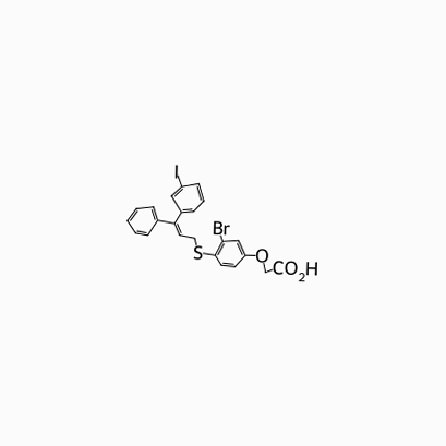 O=C(O)COc1ccc(SCC=C(c2ccccc2)c2cccc(I)c2)c(Br)c1